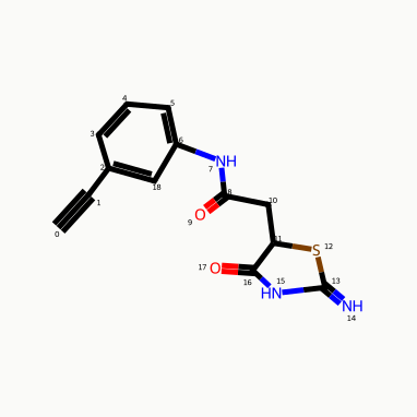 C#Cc1cccc(NC(=O)CC2SC(=N)NC2=O)c1